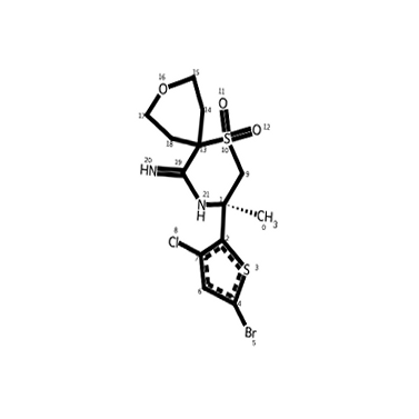 C[C@@]1(c2sc(Br)cc2Cl)CS(=O)(=O)C2(CCOCC2)C(=N)N1